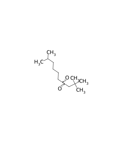 CC(C)CCCCS(=O)(=O)CC(C)(C)C